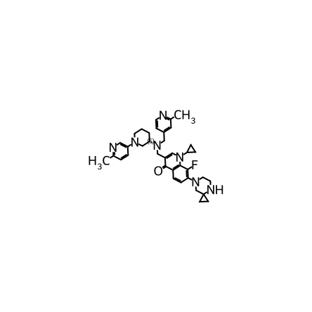 Cc1ccc(N2CCC[C@H](N(Cc3ccnc(C)c3)Cc3cn(C4CC4)c4c(F)c(N5CCNC6(CC6)C5)ccc4c3=O)C2)cn1